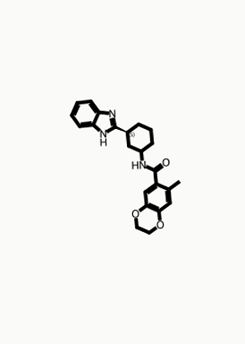 Cc1cc2c(cc1C(=O)NC1CCC[C@H](c3nc4ccccc4[nH]3)C1)OCCO2